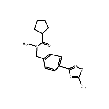 CN(Cc1ccc(-c2noc(C(F)(F)F)n2)cc1)C(=O)C1CCCC1